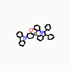 C1=CCC(c2c(-c3ccccc3)n3c4c(cccc24)B2C4=C(C=C(n5c6ccccc6c6ccccc65)CC4)Oc4cccc-3c42)C=C1